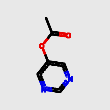 CC(=O)Oc1cncnc1